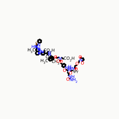 Cc1c(Nc2nc3ccccc3s2)nnc2c1CCCN2c1ccc(-c2cnn(CC34CC5(C)CC(C)(C3)CC(OCCN(CCC(=O)O)C(=O)OCc3ccc(NC(=O)[C@H](CCCNC(N)=O)NC(=O)[C@@H](NC(=O)CCOCCN6C(=O)C=CC6=O)C(C)C)cc3)(C5)C4)c2C)c(C(=O)O)n1